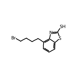 Sc1nc2c(CCCCBr)cccc2s1